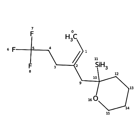 CC=C(CCC(F)(F)F)CC1([SiH3])CCCCO1